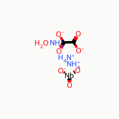 O.O=C([O-])C(=O)[O-].[NH4+].[NH4+].[NH4+].[O]=[Nb](=[O])[O-]